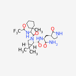 CC1([C@H](NC(=O)C(F)(F)F)C(=O)N2C[C@H]3[C@@H]([C@H]2C(=O)N[C@@H](C[C@@H]2CCNC2=O)C(N)=O)C3(C)C)CCCCC1